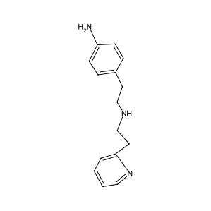 Nc1ccc(CCNCCc2ccccn2)cc1